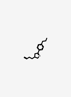 C=CCCC1CN=C(c2ccc(CCC)cc2)C1